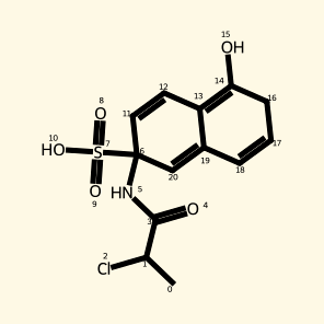 CC(Cl)C(=O)NC1(S(=O)(=O)O)C=CC2=C(O)CC=CC2=C1